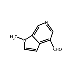 Cn1ccc2c(C=O)cncc21